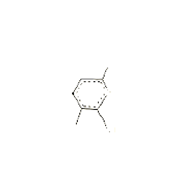 Cc1ccc(Cl)nc1N